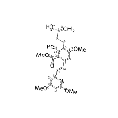 C=C(C)CCc1c(OC)cc(/C=C/c2cc(OC)cc(OC)n2)c(C(=O)OC)c1O